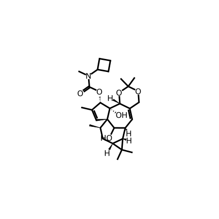 CC1=C[C@]23C(O)[C@@H](C=C4COC(C)(C)O[C@H]4[C@]2(O)[C@H]1OC(=O)N(C)C1CCC1)[C@H]1[C@@H](C[C@H]3C)C1(C)C